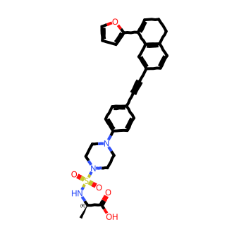 C[C@@H](NS(=O)(=O)N1CCN(c2ccc(C#Cc3ccc4c(c3)C(c3ccco3)=CCC4)cc2)CC1)C(=O)O